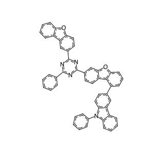 c1ccc(-c2nc(-c3ccc4c(c3)oc3cccc(-c5ccc6c(c5)c5ccccc5n6-c5ccccc5)c34)nc(-c3ccc4oc5ccccc5c4c3)n2)cc1